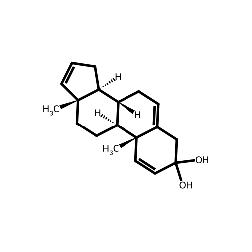 C[C@@]12C=CC[C@H]1[C@@H]1CC=C3CC(O)(O)C=C[C@]3(C)[C@H]1CC2